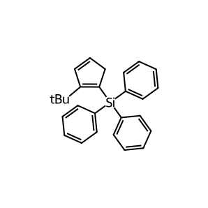 CC(C)(C)C1=C([Si](c2ccccc2)(c2ccccc2)c2ccccc2)CC=C1